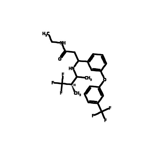 CCNC(=O)CC(NC(C)[C@H](C)C(F)(F)F)c1cccc(Oc2cccc(C(F)(F)F)c2)c1